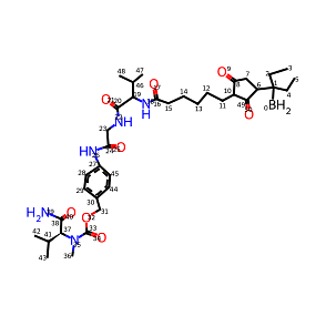 BC(CC)(CC)C1CC(=O)C(CCCCCC(=O)NC(C(=O)NCC(=O)Nc2ccc(COC(=O)N(C)[C@H](C(N)=O)C(C)C)cc2)C(C)C)C1=O